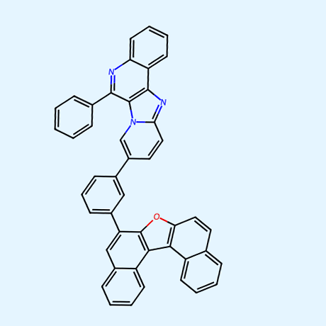 c1ccc(-c2nc3ccccc3c3nc4ccc(-c5cccc(-c6cc7ccccc7c7c6oc6ccc8ccccc8c67)c5)cn4c23)cc1